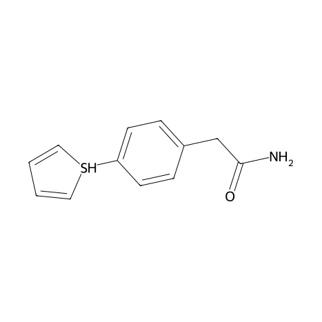 NC(=O)Cc1ccc([SH]2C=CC=C2)cc1